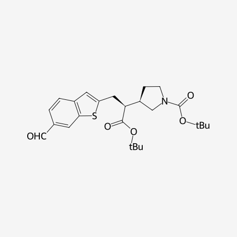 CC(C)(C)OC(=O)[C@@H](Cc1cc2ccc(C=O)cc2s1)[C@H]1CCN(C(=O)OC(C)(C)C)C1